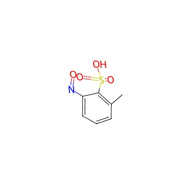 Cc1cccc(N=O)c1S(=O)(=O)O